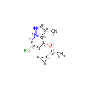 C[C@@H](Oc1cc(Br)cn2ncc(C#N)c12)C1CC1